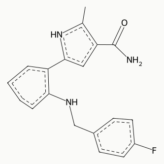 Cc1[nH]c(-c2ccccc2NCc2ccc(F)cc2)cc1C(N)=O